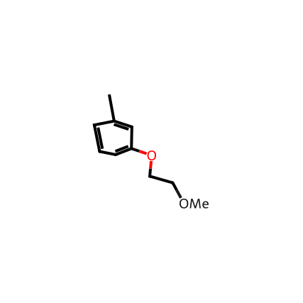 COCCOc1cccc(C)c1